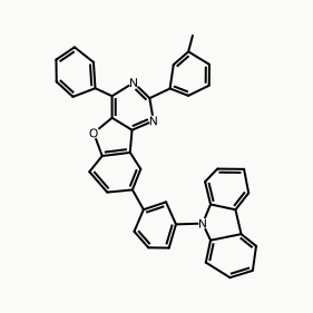 Cc1cccc(-c2nc(-c3ccccc3)c3oc4ccc(-c5cccc(-n6c7ccccc7c7ccccc76)c5)cc4c3n2)c1